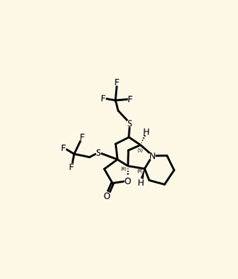 O=C1CC2(SCC(F)(F)F)CC(SCC(F)(F)F)[C@@H]3C[C@@]2(O1)[C@H]1CCCCN31